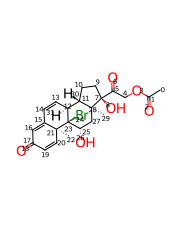 CC(=O)OCC(=O)[C@@]1(O)CC[C@H]2[C@@H]3C=CC4=CC(=O)C=C[C@]4(C)[C@@]3(Br)[C@@H](O)C[C@@]21C